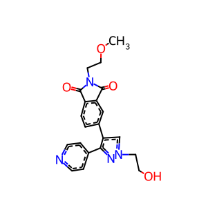 COCCN1C(=O)c2ccc(-c3cn(CCO)nc3-c3ccncc3)cc2C1=O